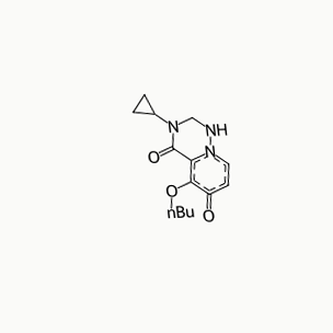 CCCCOc1c2n(ccc1=O)NCN(C1CC1)C2=O